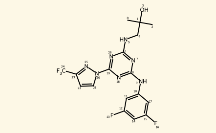 CC(C)(O)CNc1nc(Nc2cc(F)cc(F)c2)nc(-n2ccc(C(F)(F)F)n2)n1